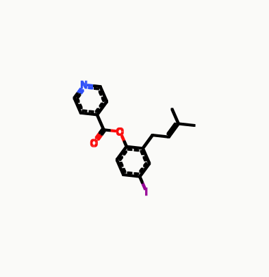 CC(C)=CCc1cc(I)ccc1OC(=O)c1ccncc1